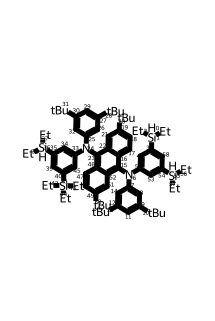 CC[SiH](CC)c1cc(N(c2cc(C(C)(C)C)cc(C(C)(C)C)c2)c2c3ccc(C(C)(C)C)cc3c(N(c3cc(C(C)(C)C)cc(C(C)(C)C)c3)c3cc([SiH](CC)CC)cc([Si](CC)(CC)CC)c3)c3ccc(C(C)(C)C)cc23)cc([SiH](CC)CC)c1